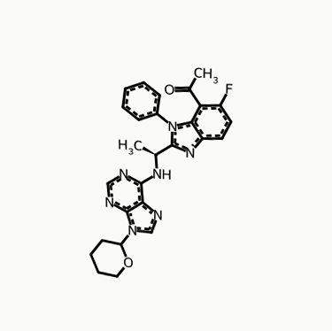 CC(=O)c1c(F)ccc2nc([C@H](C)Nc3ncnc4c3ncn4C3CCCCO3)n(-c3ccccc3)c12